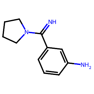 N=C(c1cccc(N)c1)N1CCCC1